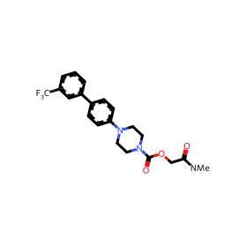 CNC(=O)COC(=O)N1CCN(c2ccc(-c3cccc(C(F)(F)F)c3)cc2)CC1